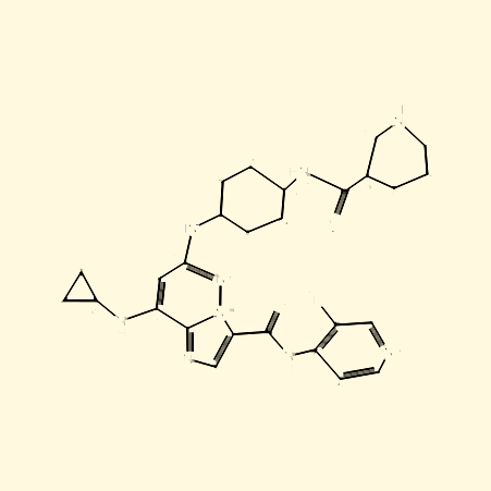 O=C(Nc1ccncc1F)c1cnc2c(NC3CC3)cc(NC3CCC(NC(=O)C4CCCNC4)CC3)nn12